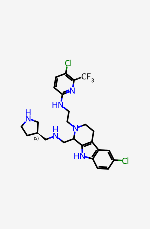 FC(F)(F)c1nc(NCCN2CCc3c([nH]c4ccc(Cl)cc34)C2CNC[C@H]2CCNC2)ccc1Cl